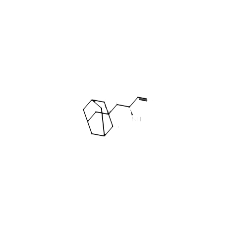 N[C@H](C=O)CC12CC3CC(CC(C3)C1)C2